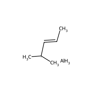 CC=C[C](C)C.[AlH3]